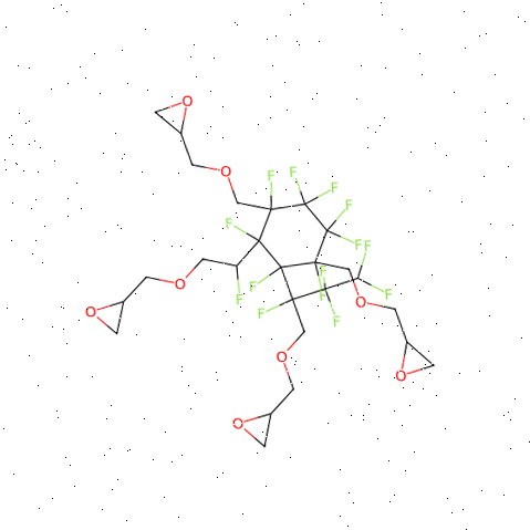 FC(F)C(F)(F)C(F)(COCC1CO1)C1(F)C(F)(COCC2CO2)C(F)(F)C(F)(F)C(F)(COCC2CO2)C1(F)C(F)COCC1CO1